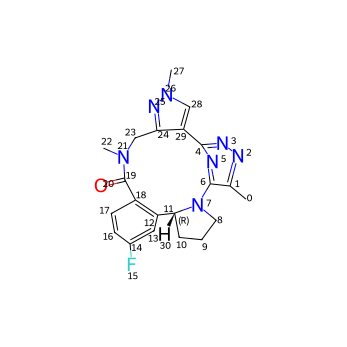 Cc1nnc2nc1N1CCC[C@@H]1c1cc(F)ccc1C(=O)N(C)Cc1nn(C)cc1-2